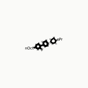 CCCCCCCCc1ccc(-c2ccc([C@H]3CC[C@H](CCC)CC3)cc2)c(F)c1